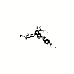 COc1ccc(CNc2cc3c(C(C)C)ccc(N4CC(CS(C)(=O)=O)C4)c3cn2)cc1